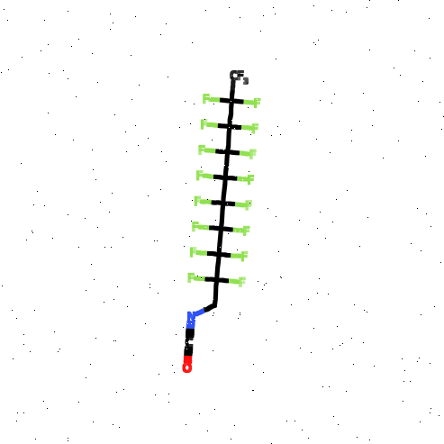 O=C=NCC(F)(F)C(F)(F)C(F)(F)C(F)(F)C(F)(F)C(F)(F)C(F)(F)C(F)(F)C(F)(F)F